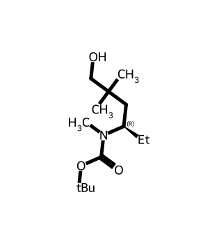 CC[C@H](CC(C)(C)CO)N(C)C(=O)OC(C)(C)C